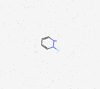 FN1[C]=CC=CN1